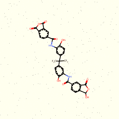 O=C(Nc1cc(C(c2ccc(O)c(NC(=O)c3ccc4c(c3)C(=O)OC4O)c2)(C(F)(F)F)C(F)(F)F)ccc1O)c1ccc2c(c1)C(=O)OC2=O